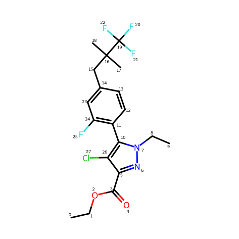 CCOC(=O)c1nn(CC)c(-c2ccc(CC(C)(C)C(F)(F)F)cc2F)c1Cl